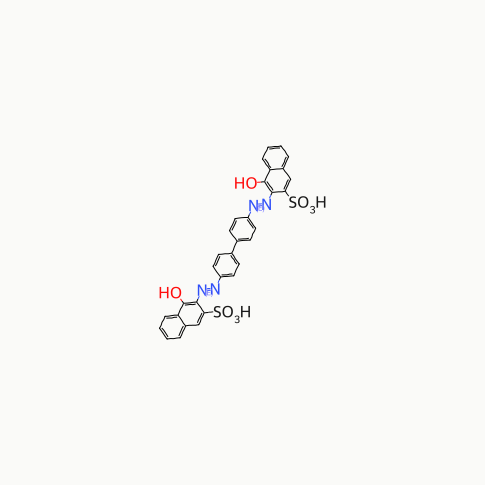 O=S(=O)(O)c1cc2ccccc2c(O)c1/N=N/c1ccc(-c2ccc(/N=N/c3c(S(=O)(=O)O)cc4ccccc4c3O)cc2)cc1